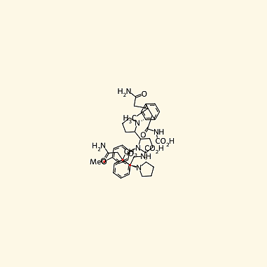 COc1ccc(N2C(C3CCCN3[C@@]3(C(=O)NC(=O)O)c4ccc(cc4)C3(C)CC(N)=O)CC[C@@H]2C2CCCN2[C@@]2(C(=O)NC(=O)O)c3ccc(cc3)C2(C)CC(N)=O)cc1